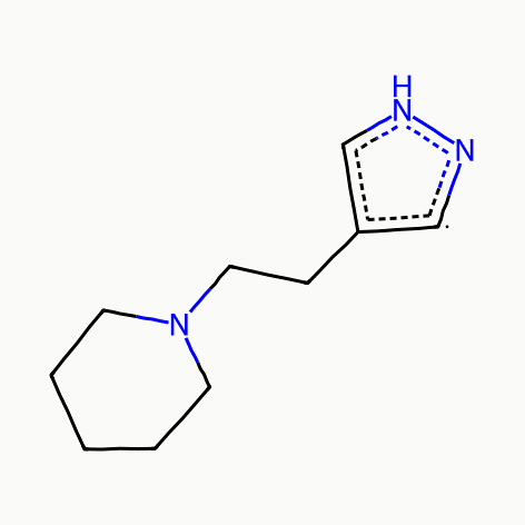 [c]1n[nH]cc1CCN1CCCCC1